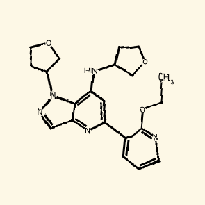 CCOc1ncccc1-c1cc(NC2CCOC2)c2c(cnn2C2CCOC2)n1